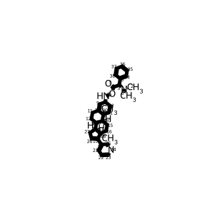 CN(C)C(C(=O)ONC1C=C2CC[C@H]3[C@H](CC[C@]4(C)C(c5cccnc5)=CC[C@@H]34)[C@@]2(C)CC1)c1ccccc1